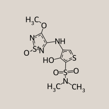 COc1n[s+]([O-])nc1Nc1csc(S(=O)(=O)N(C)C)c1O